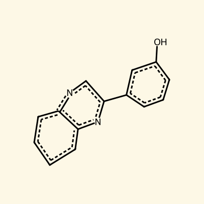 Oc1cccc(-c2cnc3ccccc3n2)c1